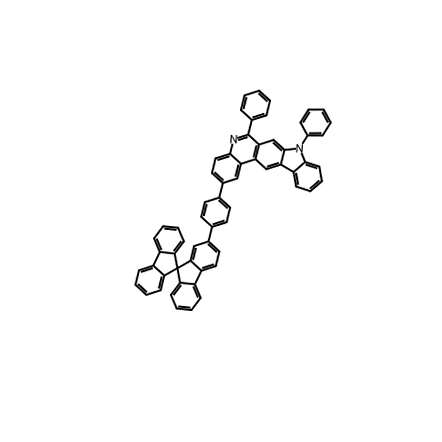 c1ccc(-c2nc3ccc(-c4ccc(-c5ccc6c(c5)C5(c7ccccc7-c7ccccc75)c5ccccc5-6)cc4)cc3c3cc4c5ccccc5n(-c5ccccc5)c4cc23)cc1